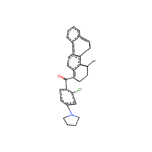 CC1CCC(C(=O)c2ccc(N3CCCC3)cc2Cl)=c2ccc3c(c21)CC=c1ccccc1=3